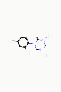 Cc1cc(Cl)ccc1N1CN(C)CN(C(C)C)C1=S